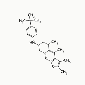 Cc1sc2cc3c(c(C)c2c1C)C(C)CC(Nc1ccc(C(C)(C)C)cc1)C3